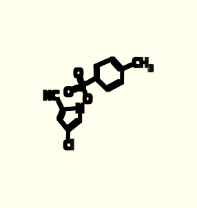 Cc1ccc(S(=O)(=O)On2cc(Cl)cc2C#N)cc1